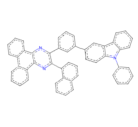 c1ccc(-n2c3ccccc3c3cc(-c4cccc(-c5nc6c7ccccc7c7ccccc7c6nc5-c5cccc6ccccc56)c4)ccc32)cc1